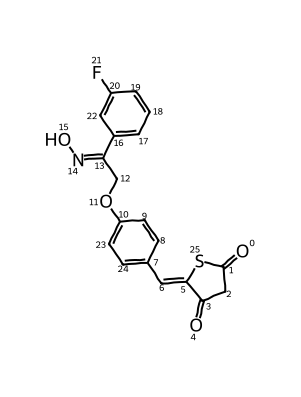 O=C1CC(=O)/C(=C/c2ccc(OCC(=NO)c3cccc(F)c3)cc2)S1